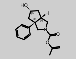 C=C(C)OC(=O)N1C[C@H]2C[C@@H](O)C[C@@]2(c2ccccc2)C1